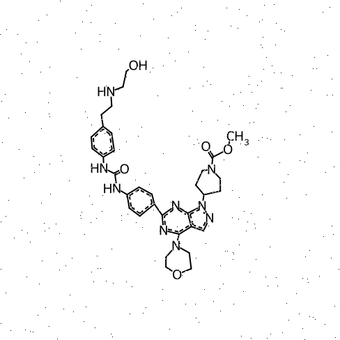 COC(=O)N1CCC(n2ncc3c(N4CCOCC4)nc(-c4ccc(NC(=O)Nc5ccc(CCNCCO)cc5)cc4)nc32)CC1